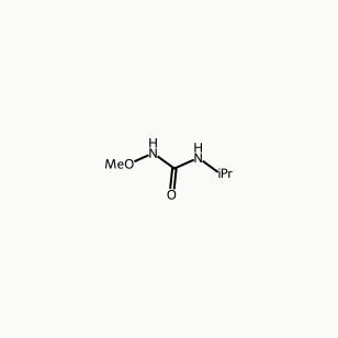 CONC(=O)NC(C)C